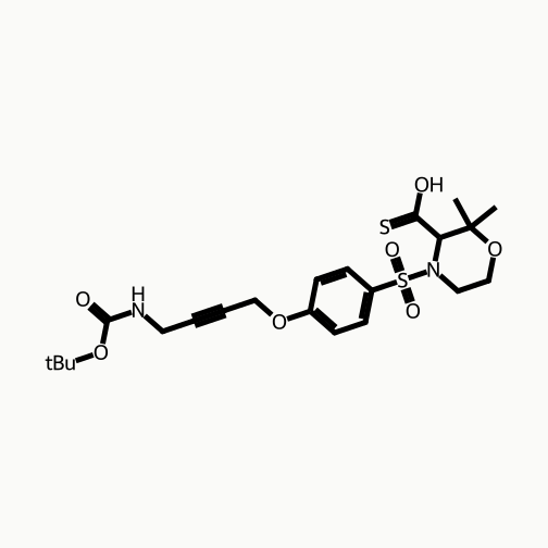 CC(C)(C)OC(=O)NCC#CCOc1ccc(S(=O)(=O)N2CCOC(C)(C)C2C(O)=S)cc1